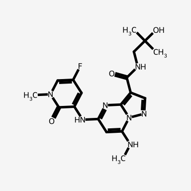 CNc1cc(Nc2cc(F)cn(C)c2=O)nc2c(C(=O)NCC(C)(C)O)cnn12